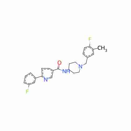 Cc1cc(CN2CCC(NC(=O)c3ccc(-c4cccc(F)c4)nc3)CC2)ccc1F